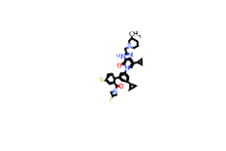 C[C@H]1CCCN(Cc2nc3c(C4CC4)cn(-c4cc(-c5ccc(F)cc5C(=O)N5CC(F)C5)cc(C5CC5)c4)c(=O)c3[nH]2)C1